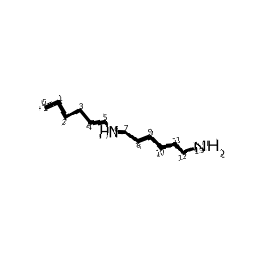 [CH2]CCCCCNCCCCCCN